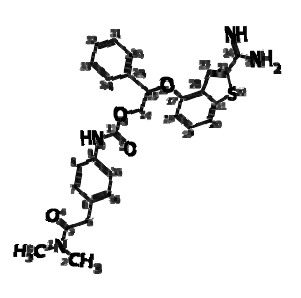 CN(C)C(=O)Cc1ccc(NC(=O)OCC(Oc2cccc3sc(C(=N)N)cc23)c2ccccc2)cc1